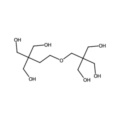 OCC(CO)(CO)CCOCC(CO)(CO)CO